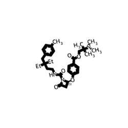 CCC(CC)(CCNC(=O)N1C(=O)C[C@@H]1Oc1ccc(C(=O)OCC(C)(C)N(C)C)cc1)Cc1ccc(C)cc1